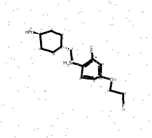 CCC[C@H]1CC[C@H](C[SiH2]c2ccc(OCCF)cc2F)CC1